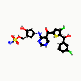 NS(=O)(=O)OC[C@H]1C[C@@H](Nc2ncncc2C(=O)c2cc(Cl)c(C(O)c3cccc(Cl)c3)s2)C[C@@H]1O